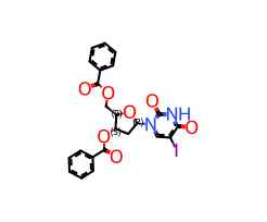 O=C(OC[C@H]1O[C@@H](n2cc(I)c(=O)[nH]c2=O)C[C@@H]1OC(=O)c1ccccc1)c1ccccc1